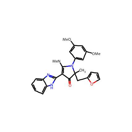 CNC1=C(c2nc3ccccc3[nH]2)C(=O)C(C)(Cc2ccco2)N1c1cc(OC)cc(OC)c1